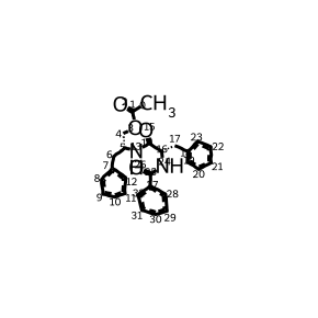 CC(=O)OC[C@@H](Cc1ccccc1)NC(=O)[C@H](Cc1ccccc1)NC(=O)c1ccccc1